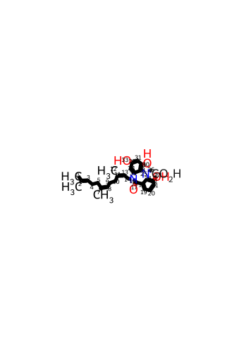 CC(C)=CCCC(C)=CCCC(C)=CCN1C(=O)c2cccc(O)c2N(CC(=O)O)c2c(O)cc(O)cc21